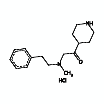 CN(CCc1ccccc1)CC(=O)C1CCNCC1.Cl